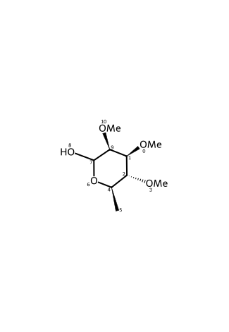 CO[C@H]1[C@H](OC)[C@@H](C)OC(O)[C@H]1OC